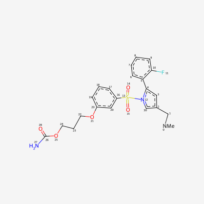 CNCc1cc(-c2ccccc2F)n(S(=O)(=O)c2cccc(OCCCOC(N)=O)c2)c1